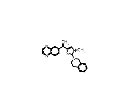 C=C(C1=CN(C)C(N2CCc3ccccc3C2)S1)c1ccc2nccnc2c1